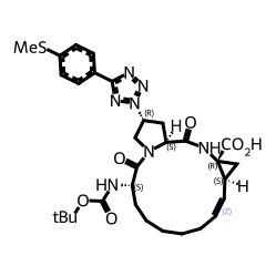 CSc1ccc(-c2nnn([C@@H]3C[C@H]4C(=O)N[C@]5(C(=O)O)C[C@H]5/C=C\CCCCC[C@H](NC(=O)OC(C)(C)C)C(=O)N4C3)n2)cc1